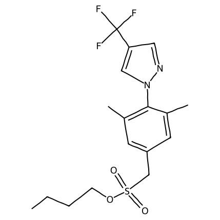 CCCCOS(=O)(=O)Cc1cc(C)c(-n2cc(C(F)(F)F)cn2)c(C)c1